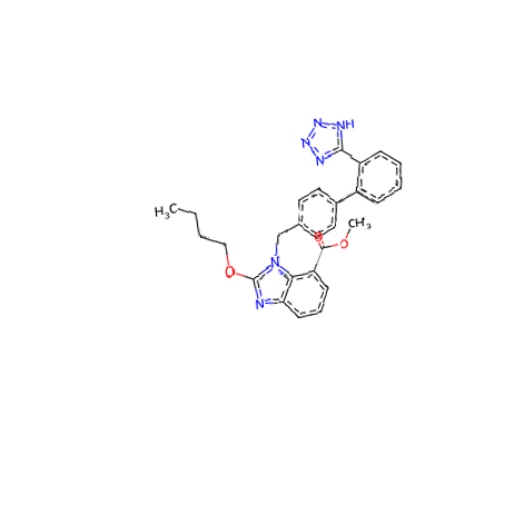 CCCCOc1nc2cccc(C(=O)OC)c2n1Cc1ccc(-c2ccccc2-c2nnn[nH]2)cc1